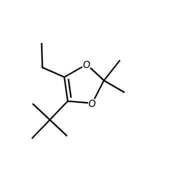 CCC1=C(C(C)(C)C)OC(C)(C)O1